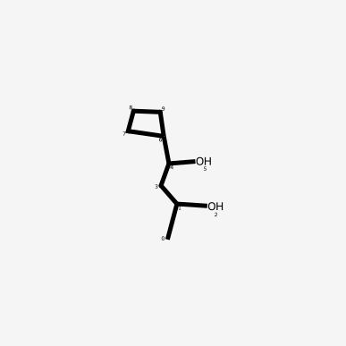 CC(O)CC(O)C1CCC1